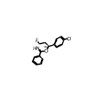 N=C(O[C@@H](CCF)c1ccc(Cl)cc1)c1ccccc1